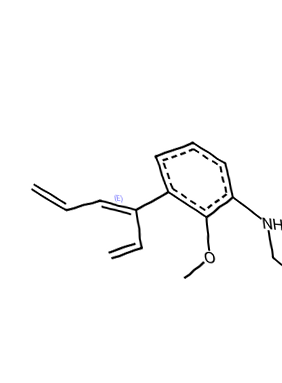 C=C/C=C(\C=C)c1cccc(NCC)c1OC